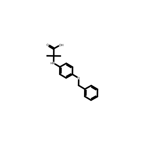 CC(C)(Nc1ccc(OCc2ccccc2)cc1)C(=O)O